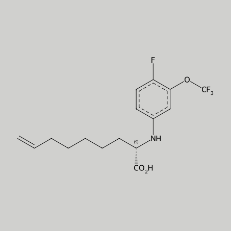 C=CCCCCC[C@H](Nc1ccc(F)c(OC(F)(F)F)c1)C(=O)O